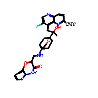 COc1ccc2ncc(F)c(CC(C)(O)C34CCC(NCC5Oc6cccnc6NC5=O)(CC3)CO4)c2n1